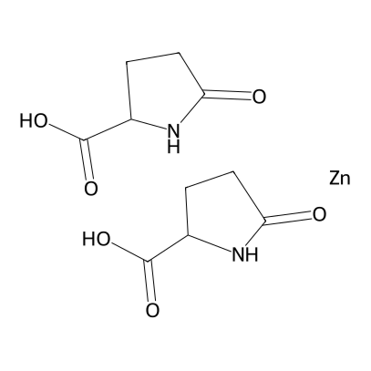 O=C1CCC(C(=O)O)N1.O=C1CCC(C(=O)O)N1.[Zn]